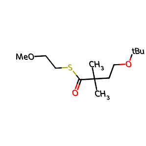 COCCSC(=O)C(C)(C)CCOC(C)(C)C